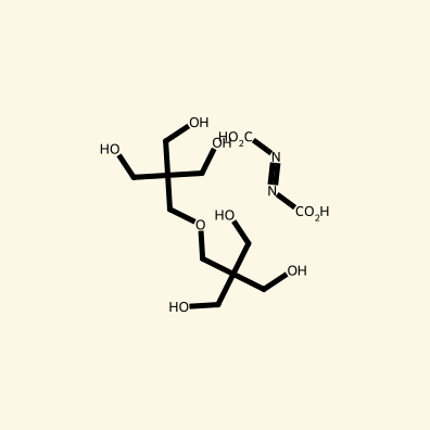 O=C(O)N=NC(=O)O.OCC(CO)(CO)COCC(CO)(CO)CO